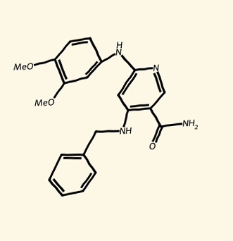 COc1ccc(Nc2cc(NCc3ccccc3)c(C(N)=O)cn2)cc1OC